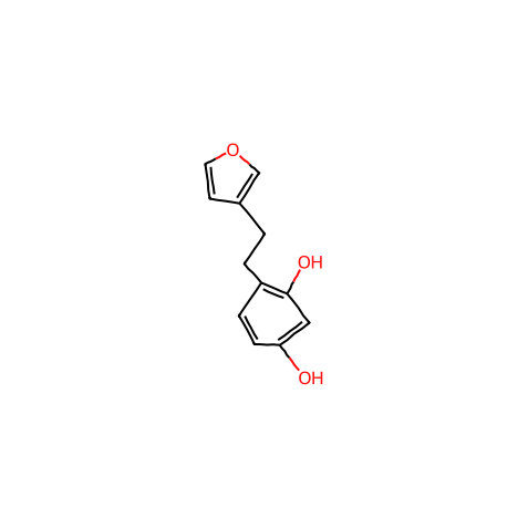 Oc1ccc(CCc2ccoc2)c(O)c1